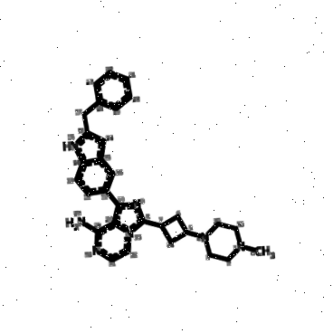 CN1CCN(C2CC(c3nc(-c4ccc5[nH]c(Cc6ccccc6)cc5c4)c4c(N)nccn34)C2)CC1